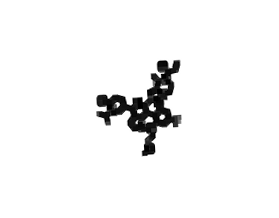 C=CC(=O)N1CCn2nc(-c3nc(-c4ccc(=O)n(C(C)C)c4)c4ccsc4c3-c3c(F)cc(F)cc3OCCOC)cc2[C@H]1C